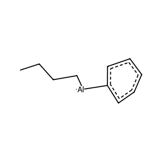 CCC[CH2][Al][c]1ccccc1